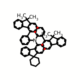 CC1(C)c2ccccc2-c2c(-c3ccccc3N(c3ccccc3-c3cccc4c3C(C)(C)c3ccccc3-4)c3cccc4c3-c3ccccc3C43CCCCC3)cccc21